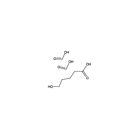 O=C(O)CCCCO.O=CO.O=CO